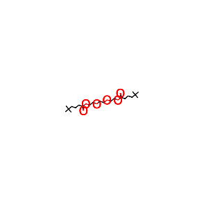 CC(C)(C)CCCC(=O)OCCOCCOCCOC(=O)CCCC(C)(C)C